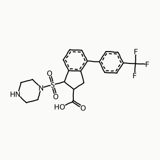 O=C(O)C1Cc2c(-c3ccc(C(F)(F)F)cc3)cccc2C1S(=O)(=O)N1CCNCC1